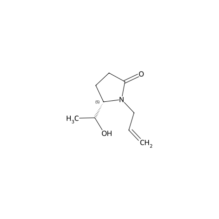 C=CCN1C(=O)CC[C@H]1C(C)O